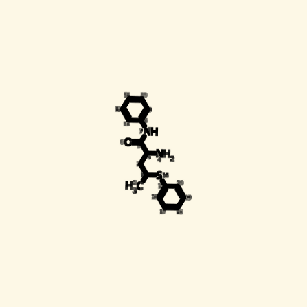 CC(CC(N)C(=O)Nc1ccccc1)Sc1ccccc1